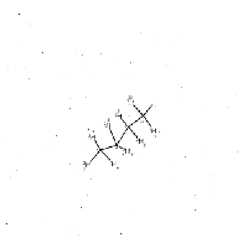 [2H]C([2H])([2H])C([2H])([2H])C([2H])([2H])C([2H])([2H])C